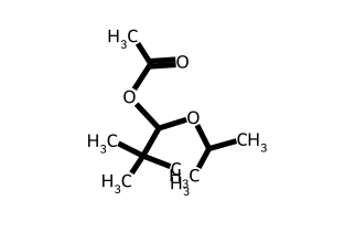 CC(=O)OC(OC(C)C)C(C)(C)C